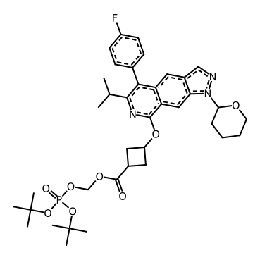 CC(C)c1nc(OC2CC(C(=O)OCOP(=O)(OC(C)(C)C)OC(C)(C)C)C2)c2cc3c(cnn3C3CCCCO3)cc2c1-c1ccc(F)cc1